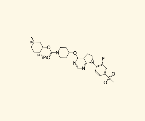 CC(C)[C@@H]1CC[C@@H](C)CC1OC(=O)N1CCC(Oc2ncnc3c2CCN3c2ccc(S(C)(=O)=O)cc2F)CC1